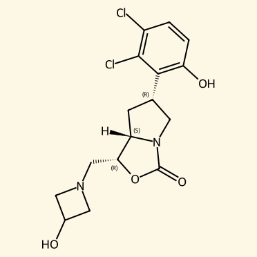 O=C1O[C@H](CN2CC(O)C2)[C@@H]2C[C@H](c3c(O)ccc(Cl)c3Cl)CN12